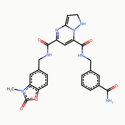 Cn1c(=O)oc2ccc(CNC(=O)C3=NC4=CCNN4C(C(=O)NCc4cccc(C(N)=O)c4)=C3)cc21